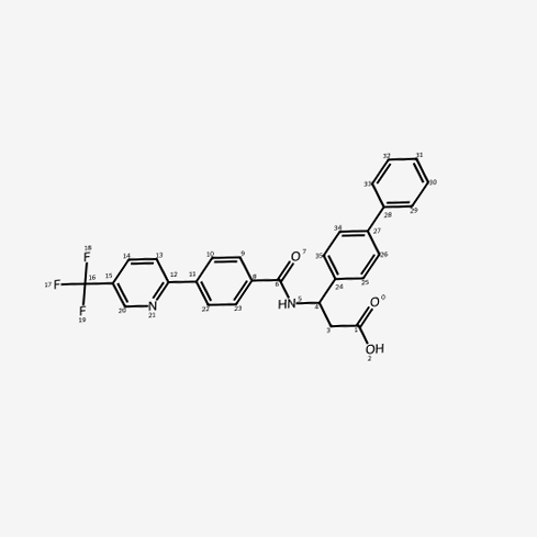 O=C(O)CC(NC(=O)c1ccc(-c2ccc(C(F)(F)F)cn2)cc1)c1ccc(-c2ccccc2)cc1